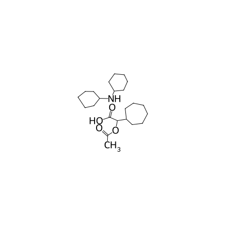 C1CCC(NC2CCCCC2)CC1.CC(=O)OC(C(=O)O)C1CCCCCC1